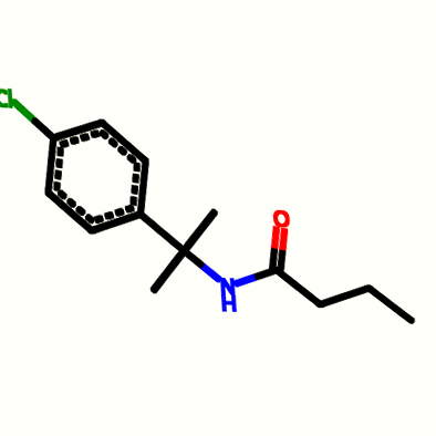 CCCC(=O)NC(C)(C)c1ccc(Cl)cc1